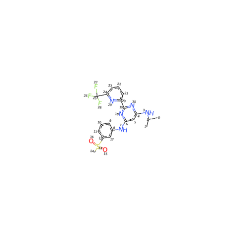 CC(C)Nc1cc(Nc2cccc(S(C)(=O)=O)c2)nc(-c2cccc(C(F)(F)F)n2)n1